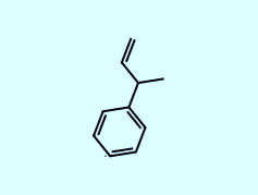 C=CC(C)c1cc[c]cc1